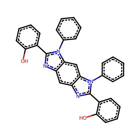 Oc1ccccc1-c1nc2cc3nc(-c4ccccc4O)n(-c4ccccc4)c3cc2n1-c1ccccc1